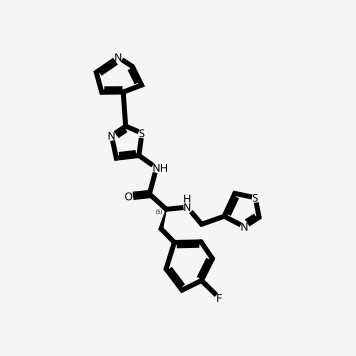 O=C(Nc1cnc(-c2ccncc2)s1)[C@H](Cc1ccc(F)cc1)NCc1cscn1